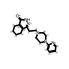 O=c1[nH]nc(CCN2CCN(c3ccccn3)CC2)c2c1CCCC2